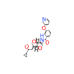 O=C(N[C@H]1CO[C@@H]2[C@@H](CC(=O)C3CC3)CO[C@@H]21)c1cccc(Oc2cccnc2)c1